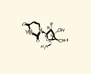 NC[C@]12O[C@@H](n3ccc(=O)[nH]c3=O)[C@H](F)[C@@]1(O)C2O